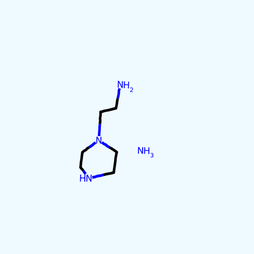 N.NCCN1CCNCC1